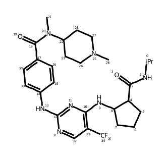 CC(C)NC(=O)C1CCCC1Nc1nc(Nc2ccc(C(=O)N(C)C3CCN(C)CC3)cc2)ncc1C(F)(F)F